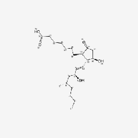 CCCC[C@H](C)C[C@H](O)/C=C/[C@H]1[C@H](O)CC(=O)[C@@H]1CCCCCCC(=O)O